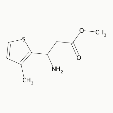 COC(=O)CC(N)c1sccc1C